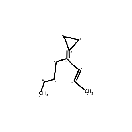 CC=CC(CCCC)=C1CC1